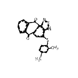 Cc1ccc(Sc2cc3c(c4nsnc24)C(=O)c2ccccc2C3=O)c(C)c1